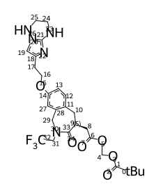 CC(C)(C)C(=O)OCOC(=O)C[C@@H]1Cc2ccc(OCCc3cn4c(n3)NCCN4)cc2CN(CC(F)(F)F)C1=O